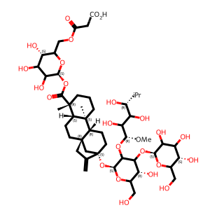 C=C1C[C@@]23CC[C@H]4[C@@](C)(CCC[C@@]4(C)C(=O)O[C@@H]4OC(COC(=O)CC(=O)O)[C@@H](O)C(O)C4O)[C@@H]2CC[C@]1(O[C@@H]1OC(CO)[C@@H](O)C(O[C@@H]2OC(CO)[C@@H](O)C(O)C2O)C1O[C@@H](OC)C(O)C(O)[C@H](O)C(C)C)C3